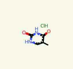 Cc1c[nH]c(=O)[nH]c1=O.Cl